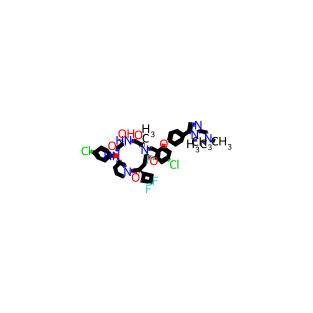 C[C@H]1C(=O)N[C@@H](CO)C(=O)N[C@@]2(Cc3ccc(Cl)cc3)CCCN(C2)C(=O)[C@H](C2CC(F)(F)C2)CC(=O)N1Cc1c(F)cc(Cl)cc1Oc1ccc(-c2cnc(CN(C)C)n2C)cc1